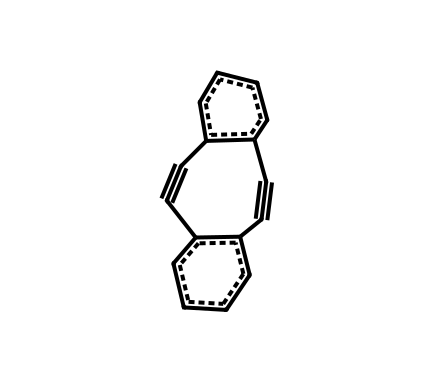 C1#Cc2ccccc2C#Cc2ccccc21